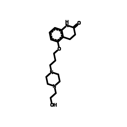 O=C1CCc2c(cccc2OCCCN2CCN(CCO)CC2)N1